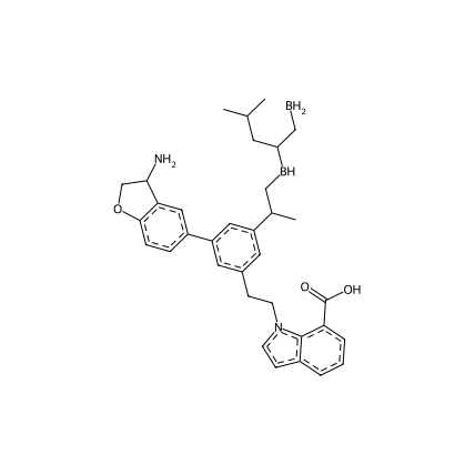 BCC(BCC(C)c1cc(CCn2ccc3cccc(C(=O)O)c32)cc(-c2ccc3c(c2)C(N)CO3)c1)CC(C)C